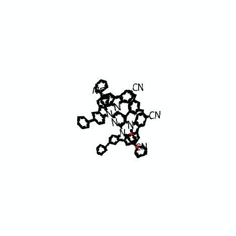 Cc1cc(C)cc(-c2c(-n3c4ccc(C#N)cc4c4cc(C#N)ccc43)c(-n3c4ccc(-c5ccccc5)cc4c4cc(-c5ccccc5)ccc43)nc(-n3c4ccc(-c5ccccc5)cc4c4cc(-c5ccccc5)ccc43)c2-n2c3ccc(C#N)cc3c3cc(C#N)ccc32)c1